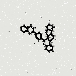 c1ccc2nc(-c3ccc(-c4nc5ccccc5c5ccc6c7ccccc7sc6c45)cc3)ccc2c1